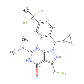 CN(C)c1nc2c(c(CF)nn2C(c2ccc(C(C)(F)F)cc2)C2CC2)c(=O)[nH]1